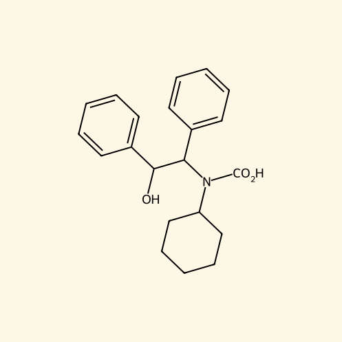 O=C(O)N(C1CCCCC1)C(c1ccccc1)C(O)c1ccccc1